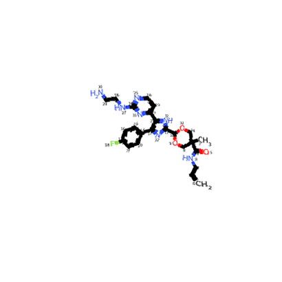 C=CCNC(=O)C1(C)COC(c2nc(-c3ccc(F)cc3)c(-c3ccnc(NCCN)n3)[nH]2)OC1